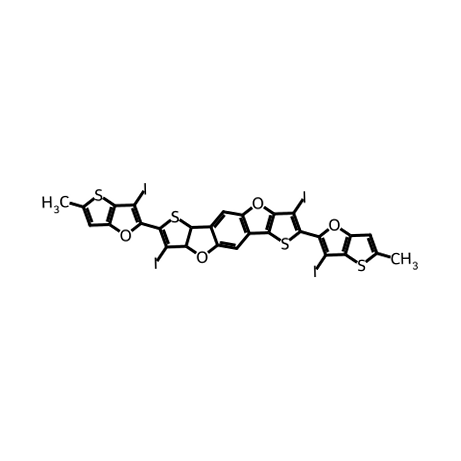 Cc1cc2oc(C3=C(I)C4Oc5cc6c(cc5C4S3)oc3c(I)c(-c4oc5cc(C)sc5c4I)sc36)c(I)c2s1